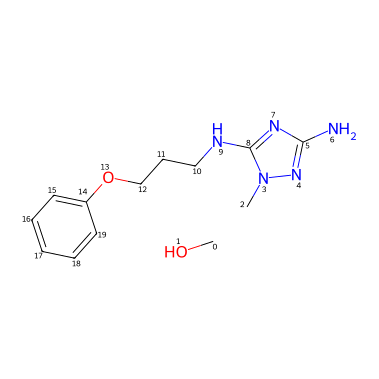 CO.Cn1nc(N)nc1NCCCOc1ccccc1